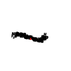 N#Cc1ccc(N2CCC(C(=O)Nc3ccc(N4CCC(CCN5CCN(c6ccc7c(n6)CN(C6CCC(=O)NC6=O)C7=O)CC5)CC4)cn3)CC2)cc1C(F)(F)F